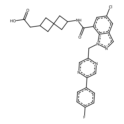 O=C(O)CC1CC2(C1)CC(NC(=O)c1cc(Cl)cc3cnn(Cc4cnc(-c5ccc(F)cc5)cn4)c13)C2